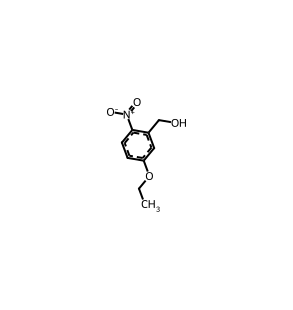 CCOc1ccc([N+](=O)[O-])c(CO)c1